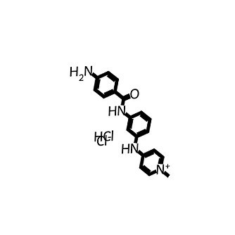 C[n+]1ccc(Nc2cccc(NC(=O)c3ccc(N)cc3)c2)cc1.Cl.[Cl-]